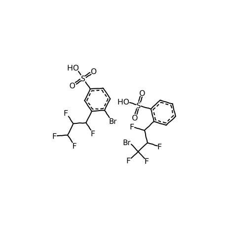 O=S(=O)(O)c1ccc(Br)c(C(F)C(F)C(F)F)c1.O=S(=O)(O)c1ccccc1C(F)C(F)C(F)(F)Br